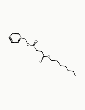 CCCCCCCOC(=O)CCC(=O)OCc1ccccc1